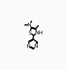 CC1=C(N(C)C)SC(c2cncnc2)N1